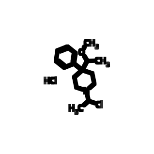 COC(C)C1(c2ccccc2)CCN(C(C)Cl)CC1.Cl